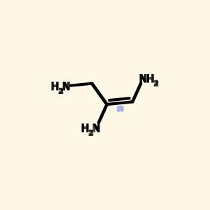 N/C=C(/N)CN